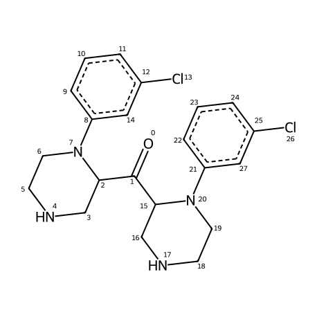 O=C(C1CNCCN1c1cccc(Cl)c1)C1CNCCN1c1cccc(Cl)c1